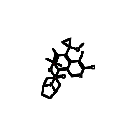 COC1(c2c(C)nc(N3CC4CCC(C3)N4C(=O)OC(C)(C)C)c3cnc(Cl)c(F)c23)CC1